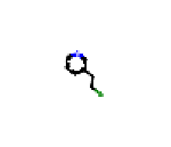 BrCCc1cccnc1